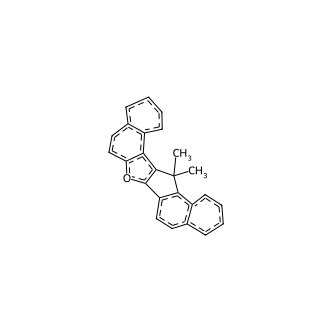 CC1(C)c2c(ccc3ccccc23)-c2oc3ccc4ccccc4c3c21